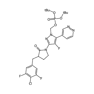 CC(C)(C)OP(=O)(OCn1nc(N2CCC(Cc3cc(F)c(Cl)c(F)c3)C2=O)c(F)c1-c1ccnnc1)OC(C)(C)C